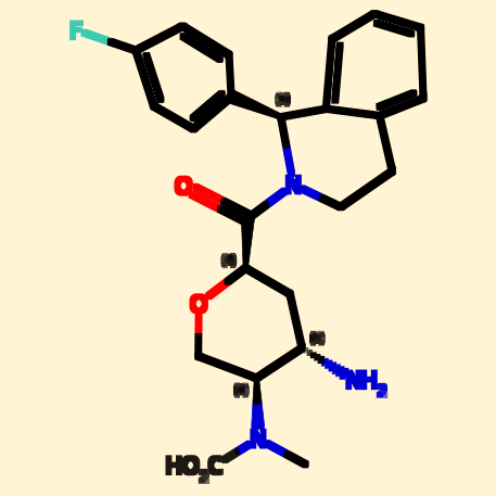 CN(C(=O)O)[C@H]1CO[C@@H](C(=O)N2CCc3ccccc3[C@@H]2c2ccc(F)cc2)C[C@@H]1N